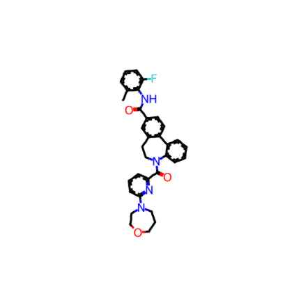 Cc1cccc(F)c1NC(=O)c1ccc2c(c1)CCN(C(=O)c1cccc(N3CCCOCC3)n1)c1ccccc1-2